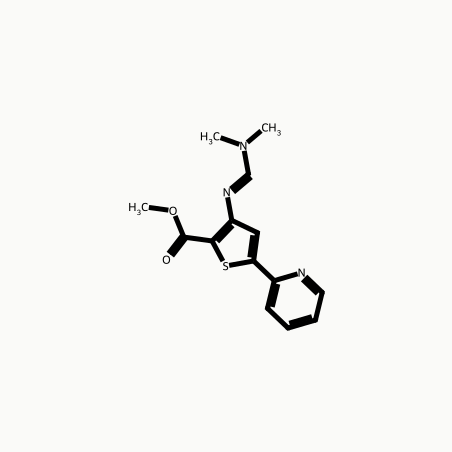 COC(=O)c1sc(-c2ccccn2)cc1/N=C/N(C)C